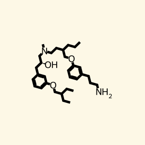 CCCC(CCN(C)C[C@H](O)Cc1cccc(OCC(CC)CC)c1)COc1cccc(CCCN)c1